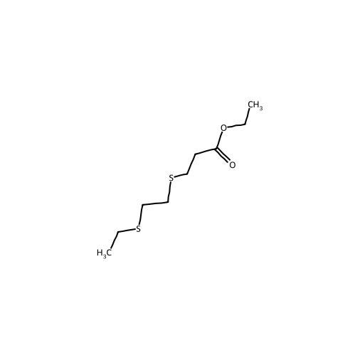 CCOC(=O)CCSCCSCC